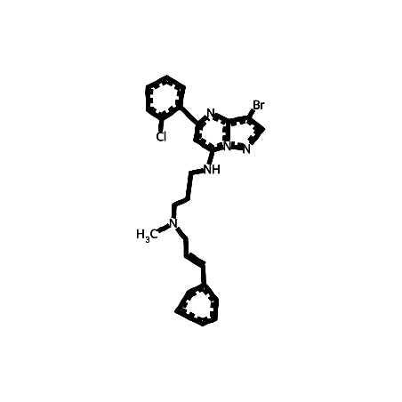 CN(C/C=C/c1ccccc1)CCCNc1cc(-c2ccccc2Cl)nc2c(Br)cnn12